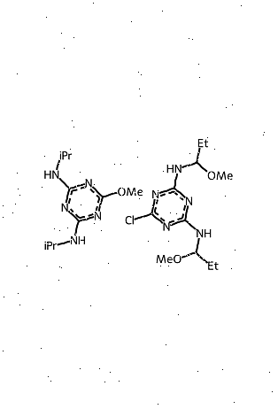 CCC(Nc1nc(Cl)nc(NC(CC)OC)n1)OC.COc1nc(NC(C)C)nc(NC(C)C)n1